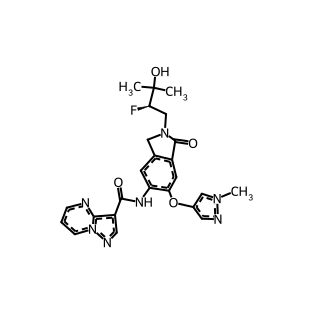 Cn1cc(Oc2cc3c(cc2NC(=O)c2cnn4cccnc24)CN(C[C@@H](F)C(C)(C)O)C3=O)cn1